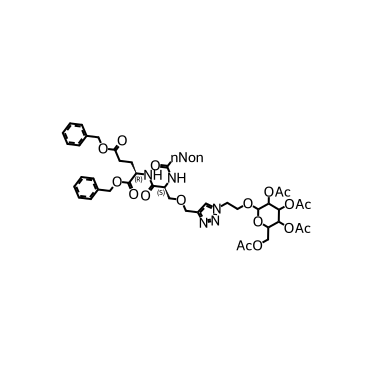 CCCCCCCCCC(=O)N[C@@H](COCc1cn(CCOC2OC(COC(C)=O)C(OC(C)=O)C(OC(C)=O)C2OC(C)=O)nn1)C(=O)N[C@H](CCC(=O)OCc1ccccc1)C(=O)OCc1ccccc1